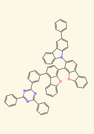 c1ccc(-c2ccc3c(c2)c2ccccc2n3-c2ccc3c(oc4ccccc43)c2-c2ccc(-c3cccc(-c4nc(-c5ccccc5)nc(-c5ccccc5)n4)c3)c3c2oc2ccccc23)cc1